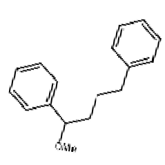 COC(CCCc1ccccc1)c1ccccc1